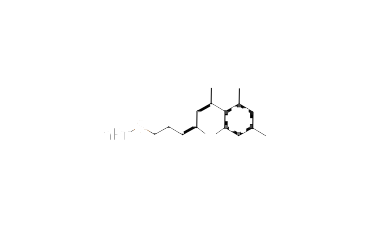 CCCSCC/C=C(C)\C=C(\C)c1c(C)cc(C)cc1C